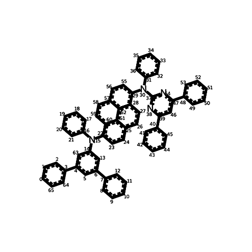 c1ccc(-c2cc(-c3ccccc3)cc(N(c3ccccc3)c3ccc4ccc5c(N(c6ccccc6)c6nc(-c7ccccc7)cc(-c7ccccc7)n6)ccc6ccc3c4c65)c2)cc1